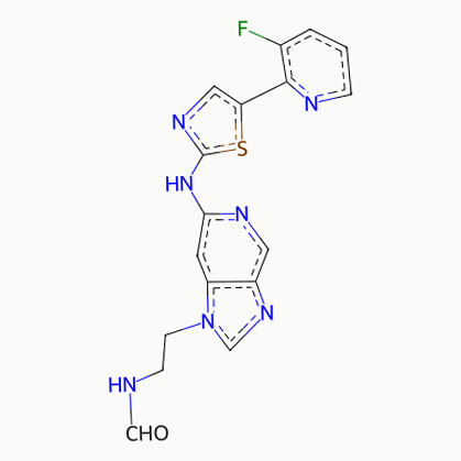 O=CNCCn1cnc2cnc(Nc3ncc(-c4ncccc4F)s3)cc21